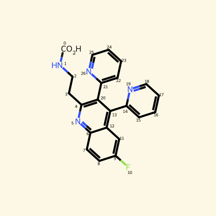 O=C(O)NCCc1nc2ccc(F)cc2c(-c2ccccn2)c1-c1ccccn1